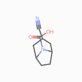 N#CC1CC2CCC(C1)N2C(=O)O